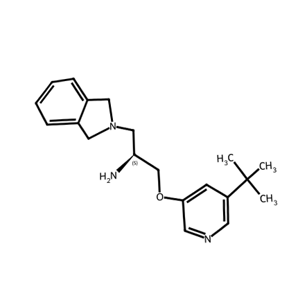 CC(C)(C)c1cncc(OC[C@@H](N)CN2Cc3ccccc3C2)c1